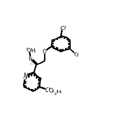 O=C(O)c1ccnc(/C(COc2cc(Cl)cc(Cl)c2)=N/O)c1